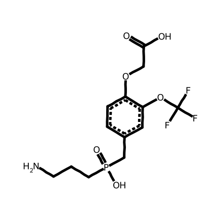 NCCCP(=O)(O)Cc1ccc(OCC(=O)O)c(OC(F)(F)F)c1